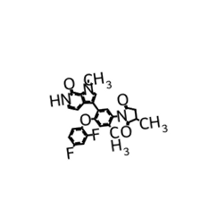 Cc1cc(Oc2ccc(F)cc2F)c(-c2cn(C)c3c(=O)[nH]ccc23)cc1N1C(=O)CC(C)C1=O